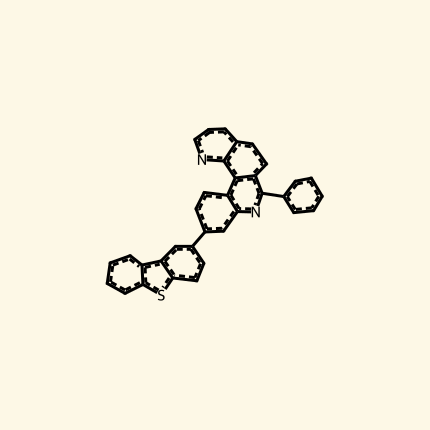 c1ccc(-c2nc3cc(-c4ccc5sc6ccccc6c5c4)ccc3c3c2ccc2cccnc23)cc1